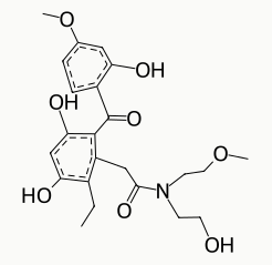 CCc1c(O)cc(O)c(C(=O)c2ccc(OC)cc2O)c1CC(=O)N(CCO)CCOC